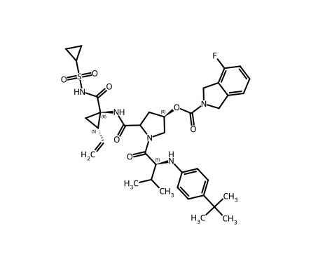 C=C[C@@H]1C[C@]1(NC(=O)C1C[C@@H](OC(=O)N2Cc3cccc(F)c3C2)CN1C(=O)[C@@H](Nc1ccc(C(C)(C)C)cc1)C(C)C)C(=O)NS(=O)(=O)C1CC1